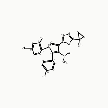 C[S+]([O-])c1c(-c2nnc(C3(C(F)(F)F)CC3)o2)nn(-c2ccc(Cl)cc2Cl)c1-c1ccc(Cl)cc1